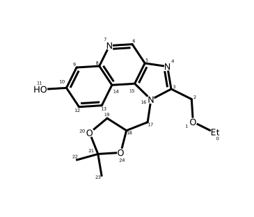 CCOCc1nc2cnc3cc(O)ccc3c2n1CC1COC(C)(C)O1